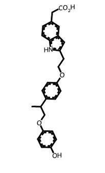 CC(COc1ccc(O)cc1)c1ccc(OCCc2cc3cc(CC(=O)O)ccc3[nH]2)cc1